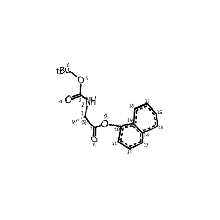 C[C@H](NC(=O)OC(C)(C)C)C(=O)Oc1cccc2ccccc12